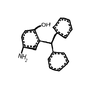 Nc1ccc(O)c(C(c2ccccc2)c2ccccc2)c1